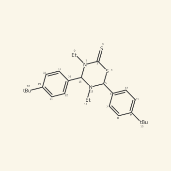 CCN1C(=S)SC(c2ccc(C(C)(C)C)cc2)N(CC)C1c1ccc(C(C)(C)C)cc1